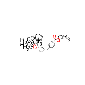 COC(=O)c1ccc(C[C@@H]2CC[C@H]([C@H](O[Si](C)(C)C(C)(C)C)c3ccccc3)C2)cc1